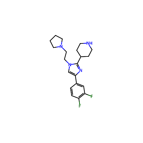 Fc1ccc(-c2cn(CCN3CCCC3)c(C3CCNCC3)n2)cc1F